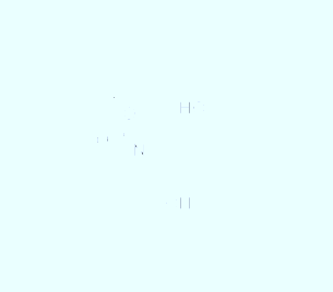 CC(C)(C)OC(=O)N1CCC(O)(c2ccccc2CCO)CC1